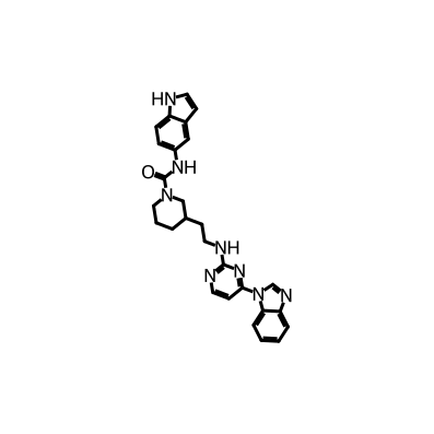 O=C(Nc1ccc2[nH]ccc2c1)N1CCCC(CCNc2nccc(-n3cnc4ccccc43)n2)C1